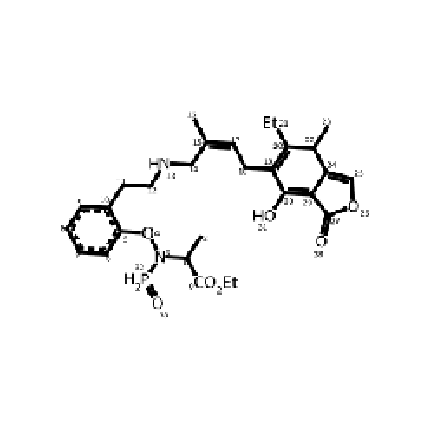 CCOC(=O)C(C)N(Oc1ccccc1CCNCC(C)=CCC1=C(CC)C(C)C2=COC(=O)C2=C1O)[PH2]=O